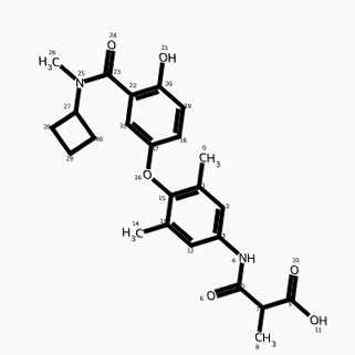 Cc1cc(NC(=O)C(C)C(=O)O)cc(C)c1Oc1ccc(O)c(C(=O)N(C)C2CCC2)c1